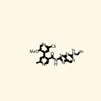 COc1cnc(Cl)cc1-c1cc(C)ncc1C(=O)Nc1nc2cnc(NCC(C)C)nc2s1